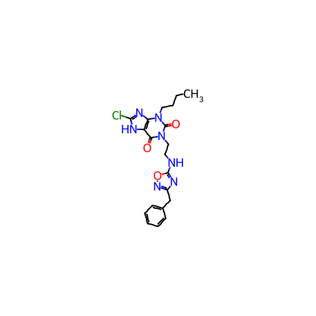 CCCCn1c(=O)n(CCNc2nc(Cc3ccccc3)no2)c(=O)c2[nH]c(Cl)nc21